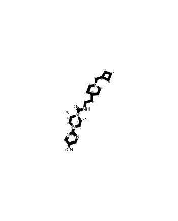 C[C@@H]1CN(c2ncc(C#N)cn2)C[C@H](C)N1C(=O)NCCC1CCN(CC2CCC2)CC1